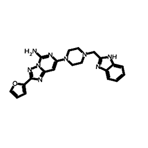 Nc1nc(N2CCN(Cc3nc4ccccc4[nH]3)CC2)cc2nc(-c3ccco3)nn12